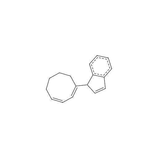 C1=CCCCCC(C2C=Cc3ccccc32)=C1